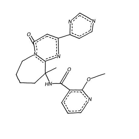 COc1ncccc1C(=O)NC1(C)CCCCn2c1nc(-c1ccncn1)cc2=O